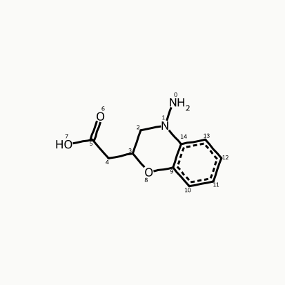 NN1CC(CC(=O)O)Oc2ccccc21